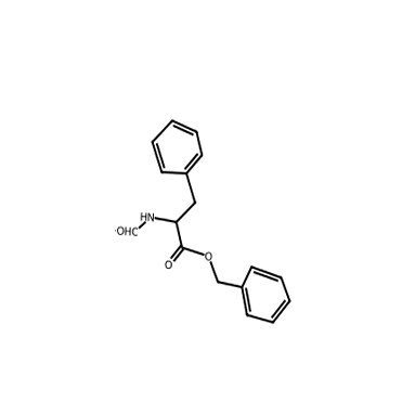 O=[C]NC(Cc1ccccc1)C(=O)OCc1ccccc1